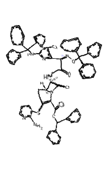 Nc1ncccc1SC1=C(C(=O)OC(c2ccccc2)c2ccccc2)N2C(=O)[C@@H](NC(=O)/C(=N\OC(c3ccccc3)(c3ccccc3)c3ccccc3)c3nc(NC(c4ccccc4)(c4ccccc4)c4ccccc4)sc3Cl)[C@H]2CC1